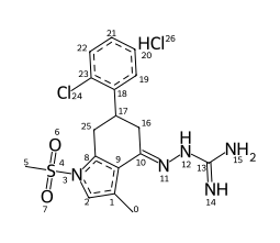 Cc1cn(S(C)(=O)=O)c2c1C(=NNC(=N)N)CC(c1ccccc1Cl)C2.Cl